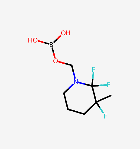 CC1(F)CCCN(COB(O)O)C1(F)F